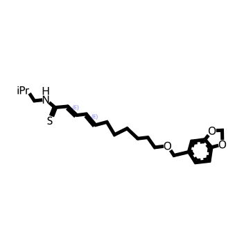 CC(C)CNC(=S)/C=C/C=C/CCCCCCOCc1ccc2c(c1)OCO2